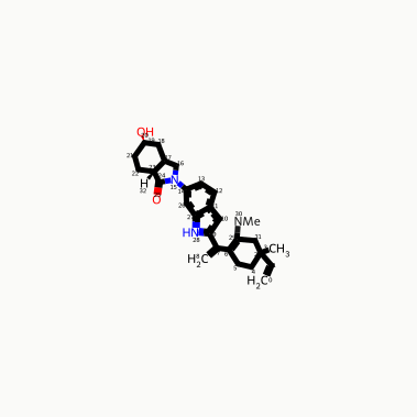 C=CC1(C)CCC(C(=C)c2cc3ccc(N4CC5C[C@@H](O)CC[C@H]5C4=O)cc3[nH]2)=C(NC)C1